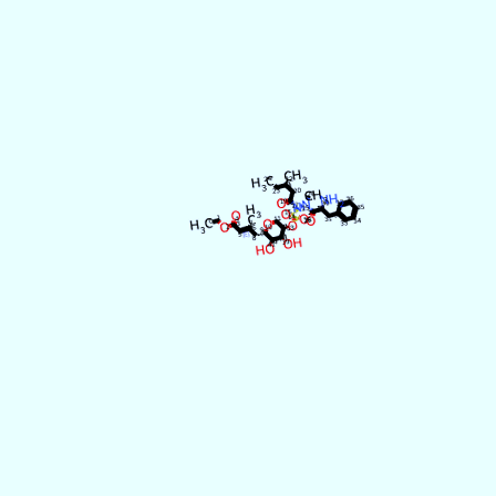 CCOC(=O)/C=C(\C)C[C@@H]1OC[C@@H](OS(=O)(=O)N(C(=O)C[C@@H](C)CC)N(C)C(=O)[C@@H](N)Cc2ccccc2)[C@H](O)[C@H]1O